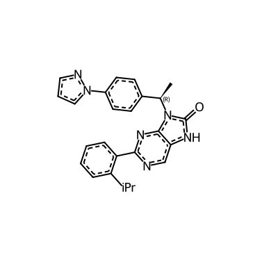 CC(C)c1ccccc1-c1ncc2[nH]c(=O)n([C@H](C)c3ccc(-n4cccn4)cc3)c2n1